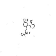 CSc1ccccc1-c1cc(O)ccc1CCNC(C)=O